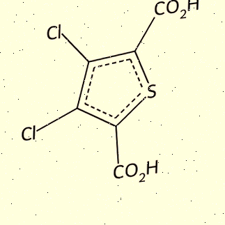 O=C(O)c1sc(C(=O)O)c(Cl)c1Cl